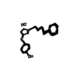 Cl.Oc1ccc(SC2CCN(CCCCc3ccccc3)C2)cc1